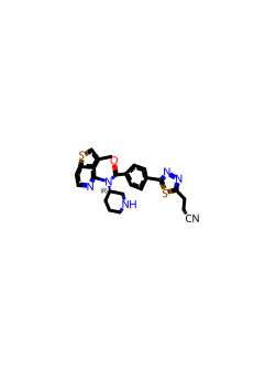 Cc1csc2ccnc(N(C(=O)c3ccc(-c4nnc(CCC#N)s4)cc3)[C@@H]3CCCNC3)c12